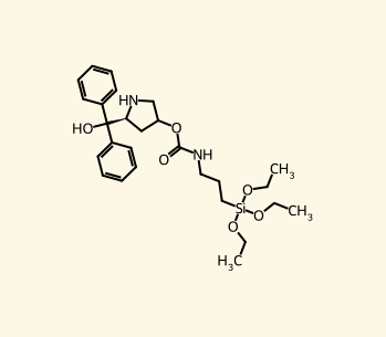 CCO[Si](CCCNC(=O)OC1CN[C@H](C(O)(c2ccccc2)c2ccccc2)C1)(OCC)OCC